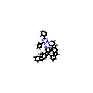 CC1(C)C2=c3c(-c4c5cc[nH]cc-5c5c4C=C4C=c6ccccc6=C4C5(C)C)cccc3=CC2=Cc2cc3ccn(-c4nc(-c5ccccc5)nc(-c5ccccc5)n4)cc-3c21